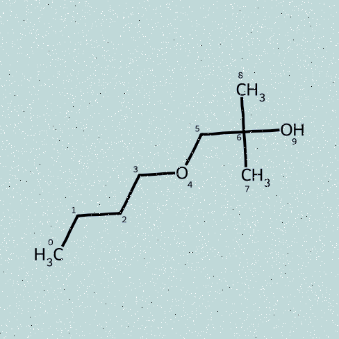 CCCCOCC(C)(C)O